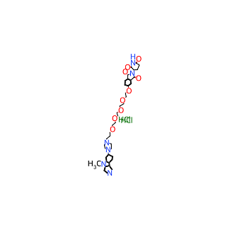 Cl.Cl.Cn1c2ccncc2c2ccc(N3CCN(CCCOCCOCCOCCOCCOc4ccc5c(c4)C(=O)N(C4CCC(=O)NC4=O)C5=O)CC3)cc21